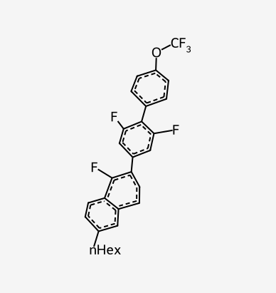 CCCCCCc1ccc2c(F)c(-c3cc(F)c(-c4ccc(OC(F)(F)F)cc4)c(F)c3)ccc2c1